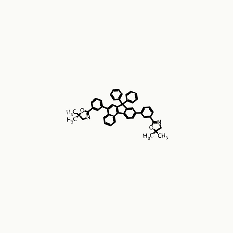 CC1(C)CN=C(c2cccc(-c3ccc4c(c3)C(c3ccccc3)(c3ccccc3)c3cc(-c5cccc(C6=NCC(C)(C)O6)c5)c5ccccc5c3-4)c2)O1